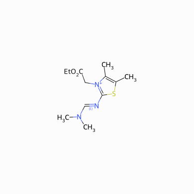 CCOC(=O)C[n+]1c(/N=C/N(C)C)sc(C)c1C